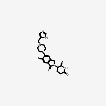 O=C1CCC(N2Cc3cc(N4CCN(Cc5cnc[nH]5)CC4)c(F)cc3C2=O)C(=O)N1